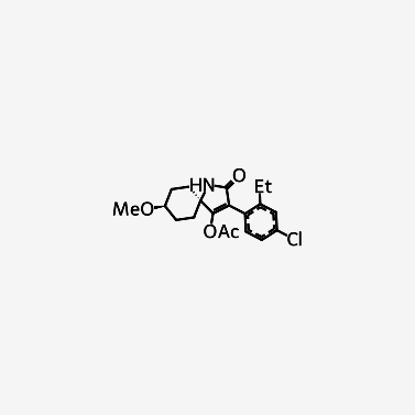 CCc1cc(Cl)ccc1C1=C(OC(C)=O)[C@]2(CC[C@H](OC)CC2)NC1=O